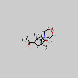 CC(=O)[C@@H]1C[C@@H]2C(=O)C[C@H]1C2N1CCOCC1